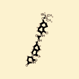 CC(C)(C)[Si](C)(C)Oc1ccc2c(Cl)c(NC(=O)NCc3ccc4c(c3)CN(C3CCC(=O)NC3=O)C4=O)ccc2c1